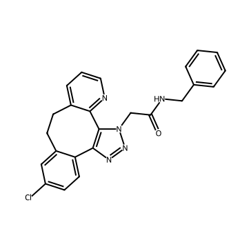 O=C(Cn1nnc2c1-c1ncccc1CCc1cc(Cl)ccc1-2)NCc1ccccc1